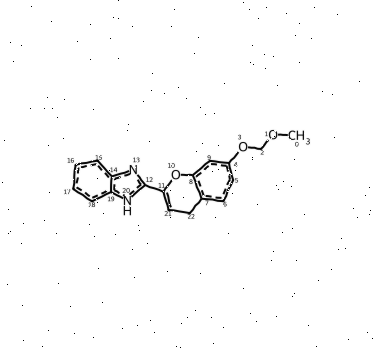 COCOc1ccc2c(c1)OC(c1nc3ccccc3[nH]1)=CC2